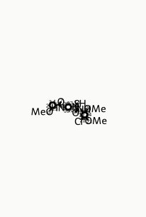 COc1cccc(C(=O)Nc2ccc(N(S)C(=O)Nc3cc(Cl)c(OC)cc3OC)cc2)c1